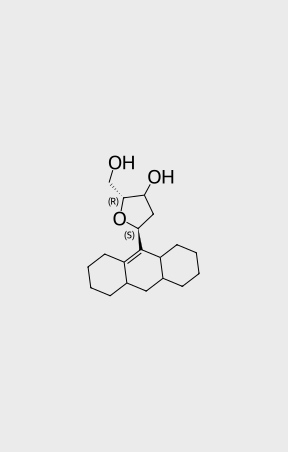 OC[C@H]1O[C@H](C2=C3CCCCC3CC3CCCCC23)CC1O